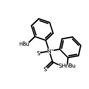 CCCCc1ccccc1[N+]([S-])(C(=S)S)c1ccccc1CCCC